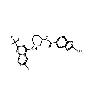 Cc1cn2cc(C(=O)N[C@@H]3CCC[C@H](Nc4cc(C(F)(F)F)nc5ccc(F)cc45)C3)ccc2n1